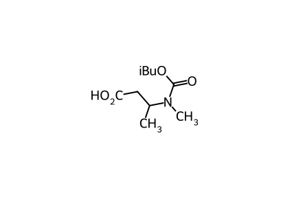 CC(C)COC(=O)N(C)C(C)CC(=O)O